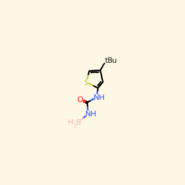 BNC(=O)Nc1cc(C(C)(C)C)cs1